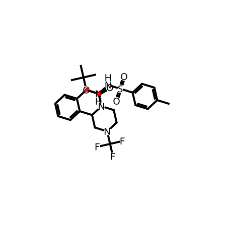 Cc1ccc(S(=O)(=O)NNCc2ccccc2C2CN(C(F)(F)F)CCN2C(=O)OC(C)(C)C)cc1